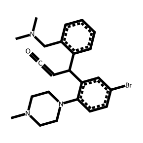 CN(C)Cc1ccccc1C(C=C=O)c1cc(Br)ccc1N1CCN(C)CC1